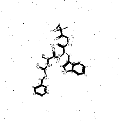 C=C(N[C@@H](C)C(=O)[C@@]1(C)CO1)[C@H](Cc1c[nH]c2ccccc12)NC(=O)[C@H](C)NC(=O)OCc1ccccc1